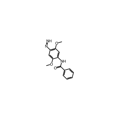 COc1cc(NC(=O)c2ccccc2)c(OC)cc1N=N